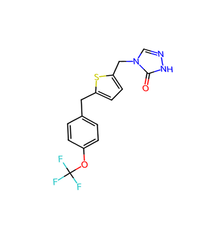 O=c1[nH]ncn1Cc1ccc(Cc2ccc(OC(F)(F)F)cc2)s1